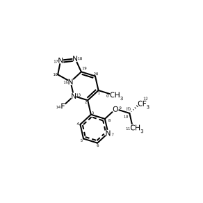 CC1=C(c2cccnc2O[C@@H](C)C(F)(F)F)N(F)N2CN=NC2=C1